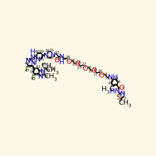 Cc1cnc(NC(=O)c2ccc(NCCOCCOCCOCCOCCOCCNC(=O)CN3CCN(c4ccc(Nc5ncc(F)c(-c6cc(F)c7nc(C)n(C(C)C)c7c6)n5)nc4)CC3)cc2C)s1